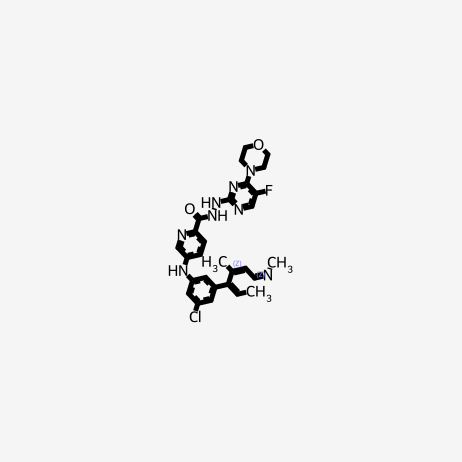 CC=C(/C(C)=C\C=N/C)c1cc(Cl)cc(Nc2ccc(C(=O)NNc3ncc(F)c(N4CCOCC4)n3)nc2)c1